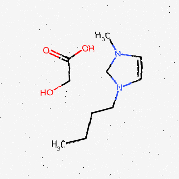 CCCCN1C=CN(C)C1.O=C(O)CO